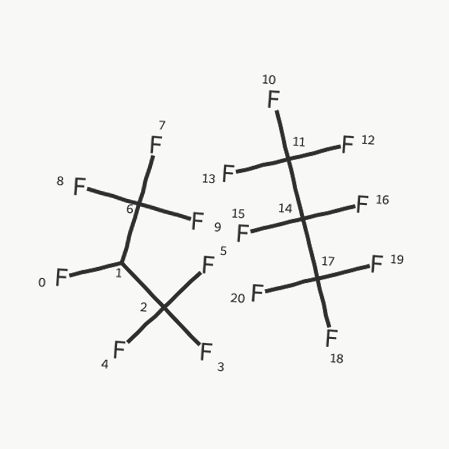 FC(C(F)(F)F)C(F)(F)F.FC(F)(F)C(F)(F)C(F)(F)F